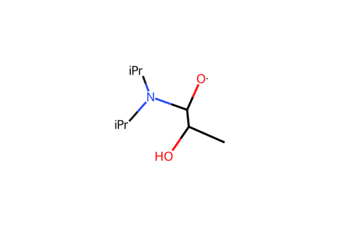 CC(O)C([O])N(C(C)C)C(C)C